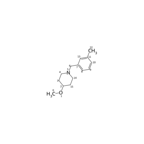 COC1CCN(Cc2cccc(C)c2)CC1